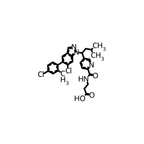 Cc1cc(Cl)ccc1-c1cc2cnn(C(CC(C)C)c3ccc(C(=O)NCCC(=O)O)nc3)c2cc1Cl